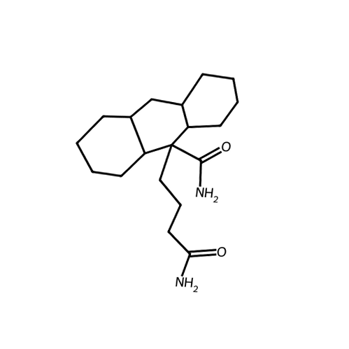 NC(=O)CCCC1(C(N)=O)C2CCCCC2CC2CCCCC21